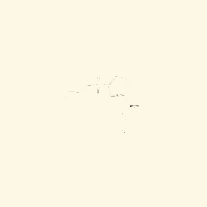 CCCCS(=O)(=O)c1cccc(C(=O)CCN)c1